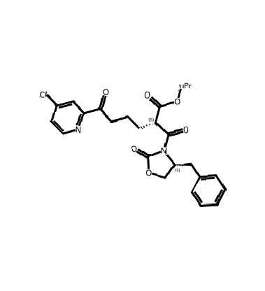 CCCOC(=O)[C@@H](CCCC(=O)c1cc(Cl)ccn1)C(=O)N1C(=O)OC[C@@H]1Cc1ccccc1